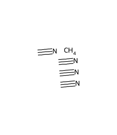 C.C#N.C#N.C#N.C#N